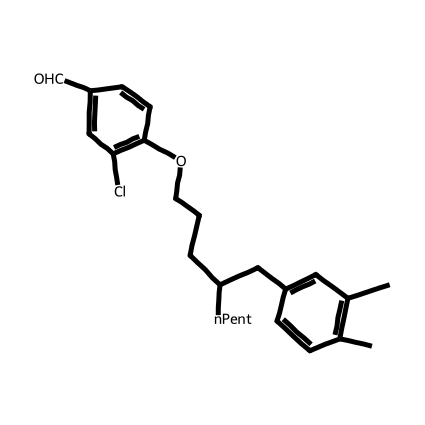 CCCCCC(CCCOc1ccc(C=O)cc1Cl)Cc1ccc(C)c(C)c1